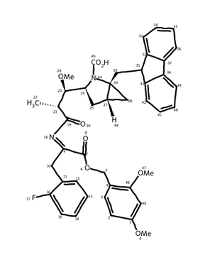 COc1ccc(COC(=O)C(Cc2ccccc2F)=NC(=O)[C@H](C)[C@@H](OC)[C@@H]2C[C@H]3C[C@@]3(CC3c4ccccc4-c4ccccc43)N2C(=O)O)c(OC)c1